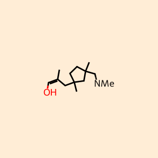 CNCC1(C)CCC(C)(C/C(C)=C\O)C1